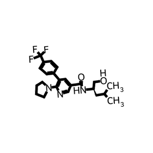 CC(C)C[C@H](CO)NC(=O)c1cnc(N2CCCC2)c(-c2ccc(C(F)(F)F)cc2)c1